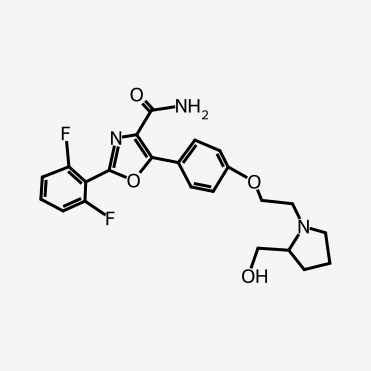 NC(=O)c1nc(-c2c(F)cccc2F)oc1-c1ccc(OCCN2CCCC2CO)cc1